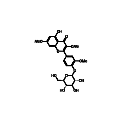 COc1cc(O)c2c(=O)c(OC)c(-c3ccc(O[C@@H]4O[C@H](CO)[C@@H](O)[C@H](O)[C@H]4O)c(OC)c3)oc2c1